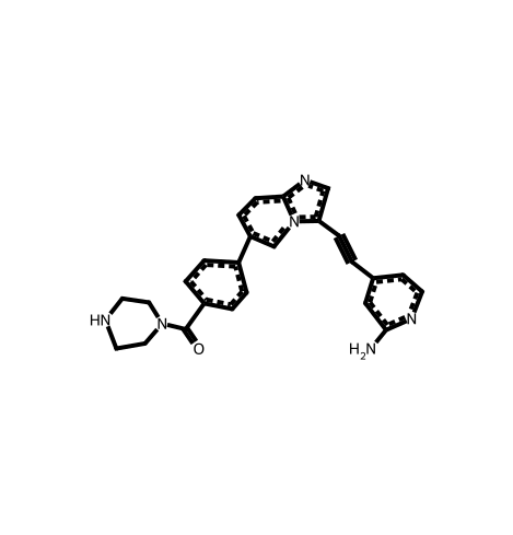 Nc1cc(C#Cc2cnc3ccc(-c4ccc(C(=O)N5CCNCC5)cc4)cn23)ccn1